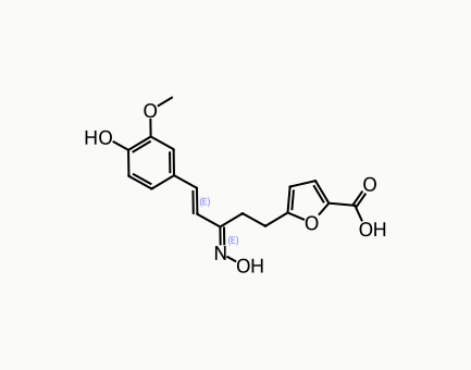 COc1cc(/C=C/C(CCc2ccc(C(=O)O)o2)=N/O)ccc1O